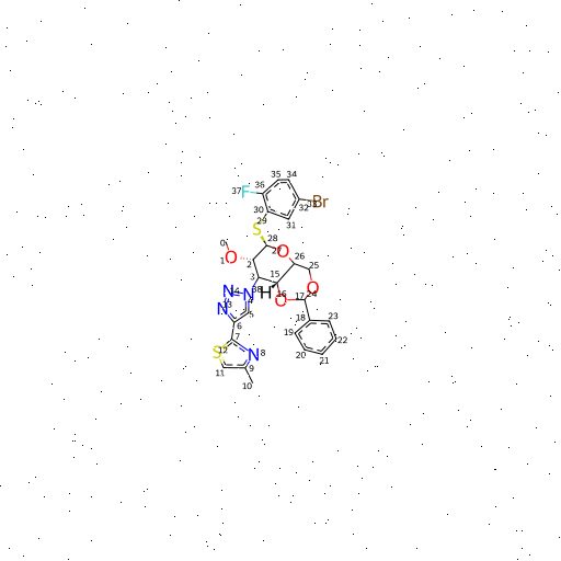 CO[C@H]1C(n2cc(-c3nc(C)cs3)nn2)[C@H]2OC(c3ccccc3)OCC2O[C@@H]1Sc1cc(Br)ccc1F